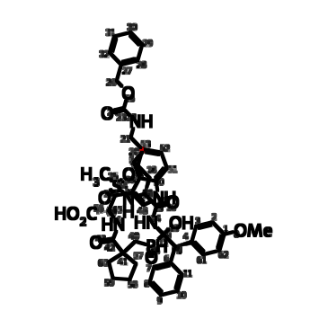 COc1ccc([C@@H](c2ccccc2)[C@@](O)(NC(=O)[C@H](CCCCNC(=O)OCc2ccccc2)NS(C)(=O)=O)[PH](=O)CC2(C(=O)N[C@@H](Cc3c[nH]c4ccccc34)C(=O)O)CCCC2)cc1